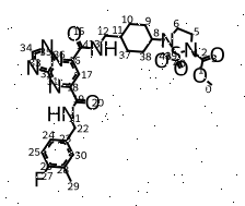 COC(=O)N1CCN(C2CCC(CNC(=O)c3cc(C(=O)NCc4ccc(F)c(C)c4)nc4ncnn34)CC2)S1(=O)=O